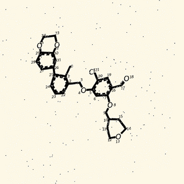 Cc1c(COc2cc(OCC3CCOCC3)c(C=O)cc2Cl)cccc1-c1ccc2c(c1)OCCO2